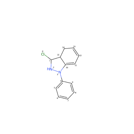 ClC1NN(c2ccccc2)C2=CC=CCC21